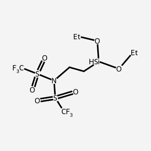 CCO[SiH](CCN(S(=O)(=O)C(F)(F)F)S(=O)(=O)C(F)(F)F)OCC